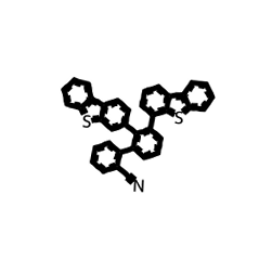 N#Cc1ccccc1-c1cccc(-c2cccc3c2sc2ccccc23)c1-c1ccc2c(c1)sc1ccccc12